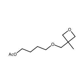 CC(=O)OCCCCOCC1(C)COC1